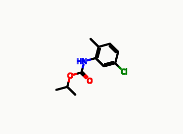 Cc1ccc(Cl)cc1NC(=O)OC(C)C